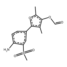 Cc1oc(-c2ccc(N)c(S(C)(=O)=O)c2)c(C)c1OC=O